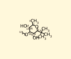 CC1OC(C(C)(C)C)[C@H](O)C(OI)[C@@H]1O